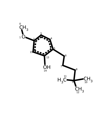 COc1ccc(CCCC(C)(C)C)c(O)c1